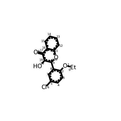 CCOc1ccc(Cl)cc1-c1oc2ccccc2c(=O)c1O